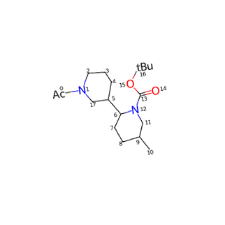 CC(=O)N1CCCC(C2CCC(C)CN2C(=O)OC(C)(C)C)C1